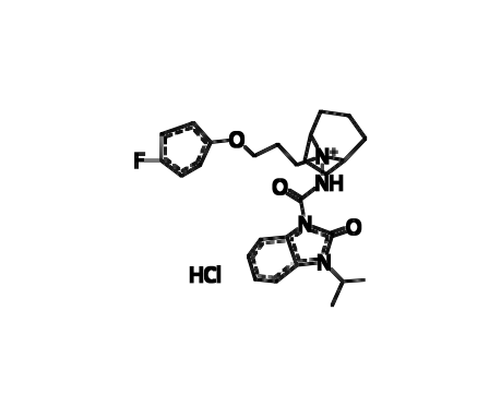 CC(C)n1c(=O)n(C(=O)N[N+]2(CCCOc3ccc(F)cc3)C3CCCC2CC3)c2ccccc21.Cl